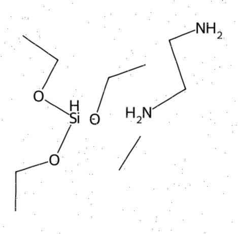 CC.CCO[SiH](OCC)OCC.NCCN